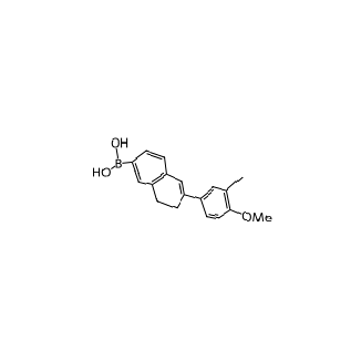 COc1ccc(C2=Cc3ccc(B(O)O)cc3CC2)cc1C